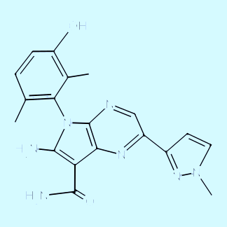 Cc1ccc(O)c(C)c1-n1c(N)c(C(N)=O)c2nc(-c3ccn(C)n3)cnc21